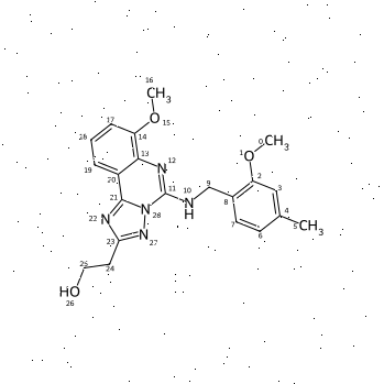 COc1cc(C)ccc1CNc1nc2c(OC)cccc2c2nc(CCO)nn12